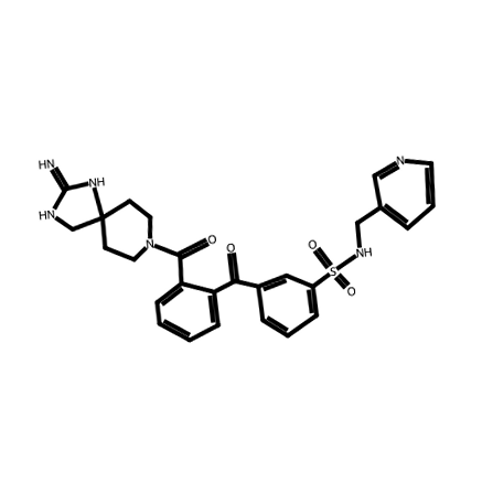 N=C1NCC2(CCN(C(=O)c3ccccc3C(=O)c3cccc(S(=O)(=O)NCc4cccnc4)c3)CC2)N1